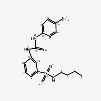 CCCCNS(=O)(=O)c1cccc(NC(=S)Nc2ccc(N)cc2)c1